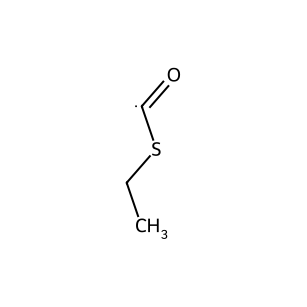 CCS[C]=O